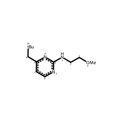 COCCNc1nccc(CC(C)(C)C)n1